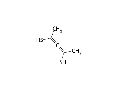 CC(S)=C=C(C)S